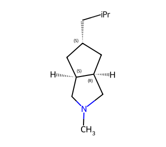 CC(C)C[C@H]1C[C@@H]2CN(C)C[C@@H]2C1